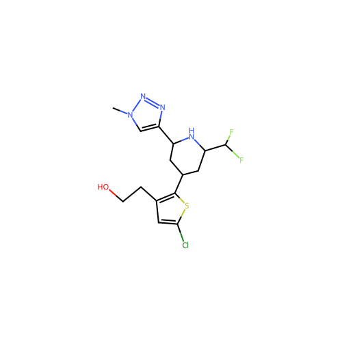 Cn1cc(C2CC(c3sc(Cl)cc3CCO)CC(C(F)F)N2)nn1